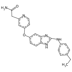 CCc1ccc(Nc2nc3cc(Oc4ccnc(CC(N)=O)c4)ccc3[nH]2)cc1